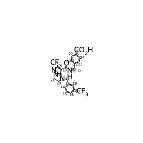 C[C@H](NC(=O)c1c(C(F)(F)F)nn2c1N(Cc1cccc(C(F)(F)F)c1)CC2)c1ccc(C(=O)O)cc1